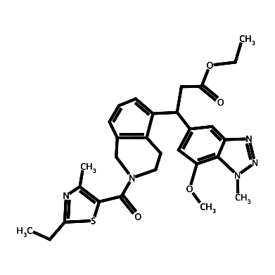 CCOC(=O)CC(c1cc(OC)c2c(c1)nnn2C)c1cccc2c1CCN(C(=O)c1sc(CC)nc1C)C2